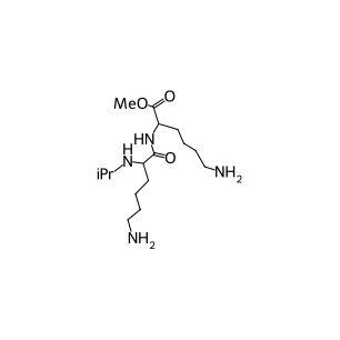 COC(=O)C(CCCCN)NC(=O)C(CCCCN)NC(C)C